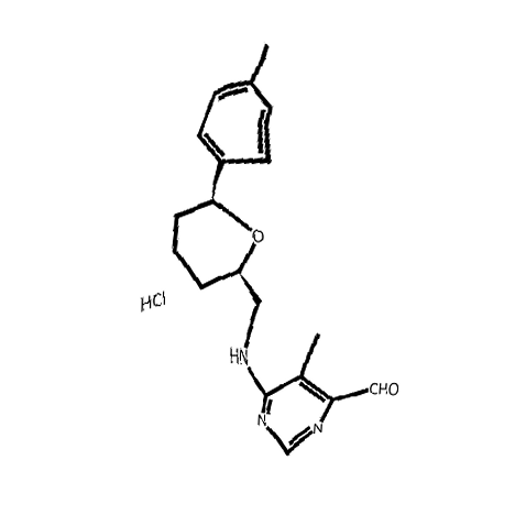 Cc1ccc([C@@H]2CCC[C@H](CNc3ncnc(C=O)c3C)O2)cc1.Cl